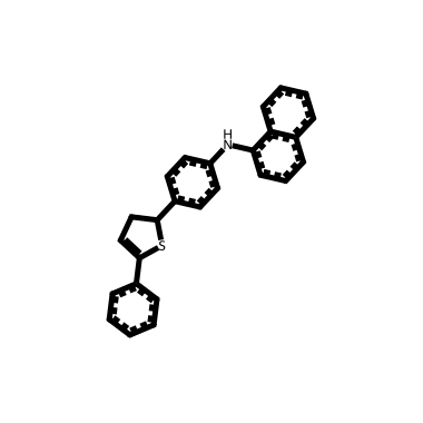 C1=C(c2ccccc2)SC(c2ccc(Nc3cccc4ccccc34)cc2)C1